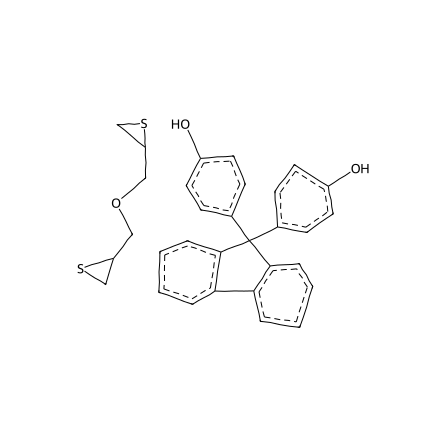 C(OCC1CS1)C1CS1.Oc1ccc(C2(c3ccc(O)cc3)c3ccccc3-c3ccccc32)cc1